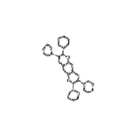 c1ccc(-c2nc3cc4nc(-c5ccccc5)c(-c5ccccc5)nc4cc3nc2-c2ccccc2)cc1